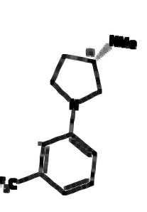 CN[C@H]1CCN(c2[c]c(C(F)(F)F)ccc2)C1